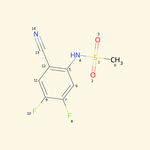 CS(=O)(=O)Nc1cc(F)c(F)cc1C#N